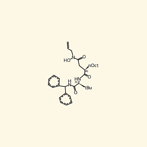 C=CCN(O)C(=O)C[C@@H](CCCCCCCC)C(=O)N[C@H](C(=O)NC(c1ccccc1)c1ccccc1)C(C)(C)C